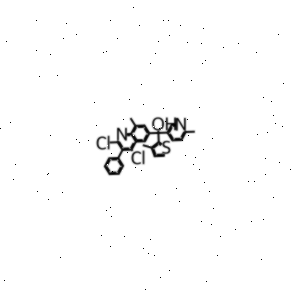 Cc1ccc(C(O)(c2cc(C)c3nc(Cl)c(-c4ccccc4)c(Cl)c3c2)c2sccc2C)cn1